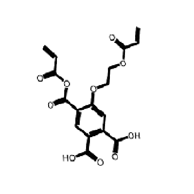 C=CC(=O)OCCOc1cc(C(=O)O)c(C(=O)O)cc1C(=O)OC(=O)C=C